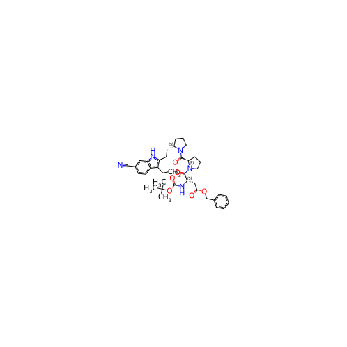 CCc1c(CC[C@@H]2CCCN2C(=O)[C@H]2CCCN2C(=O)[C@H](CC(=O)OCc2ccccc2)NC(=O)OC(C)(C)C)[nH]c2cc(C#N)ccc12